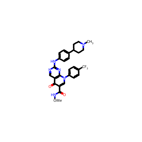 CONC(=O)c1cn(-c2ccc(C(F)(F)F)cc2)c2nc(Nc3ccc(C4CCN(C)CC4)cc3)ncc2c1=O